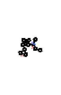 c1ccc(-c2ccc3oc4c(-c5ccc6c(c5)C5(c7ccccc7-c7ccccc75)c5cccc(-c7ccc8c(c7)c7cccc9oc%10cccc8c%10c97)c5-6)nc(-c5ccccc5)nc4c3c2)cc1